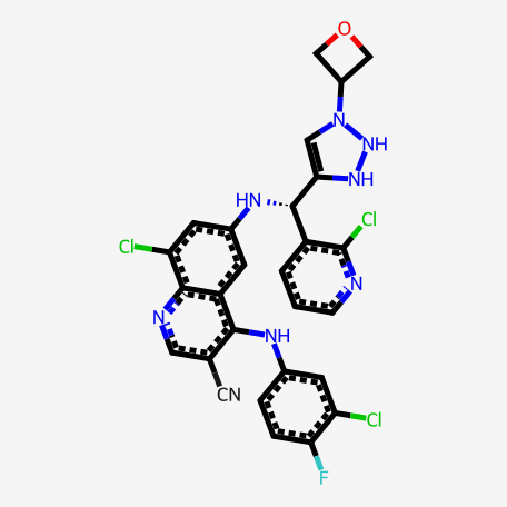 N#Cc1cnc2c(Cl)cc(N[C@H](C3=CN(C4COC4)NN3)c3cccnc3Cl)cc2c1Nc1ccc(F)c(Cl)c1